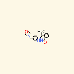 Cc1cccc2c(=O)[nH]c(-c3ccc(CN4CCOCC4)cc3)cc12